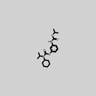 CC(C)OC(=O)Nc1cccc(OC(=O)N(C(C)C)C2CCCCC2)c1